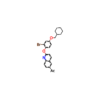 CC(=O)c1ccc2nc(Oc3ccc(OCC4CCCCC4)cc3Br)ccc2c1